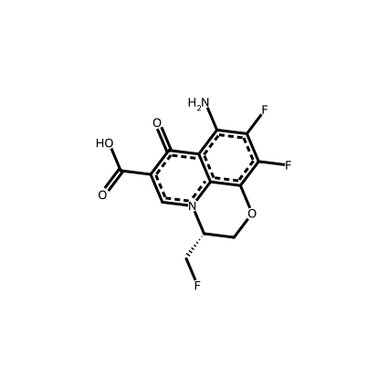 Nc1c(F)c(F)c2c3c1c(=O)c(C(=O)O)cn3[C@@H](CF)CO2